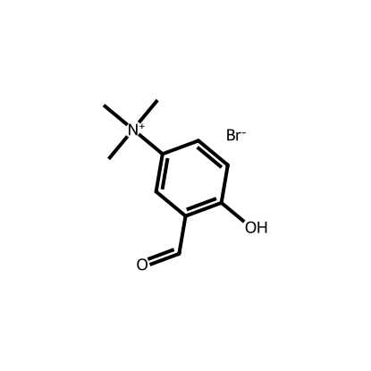 C[N+](C)(C)c1ccc(O)c(C=O)c1.[Br-]